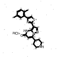 Cc1ccc(C)c(-c2csc(-c3cnn4c(C5CCNCC5)cc(=O)[nH]c34)n2)c1.Cl